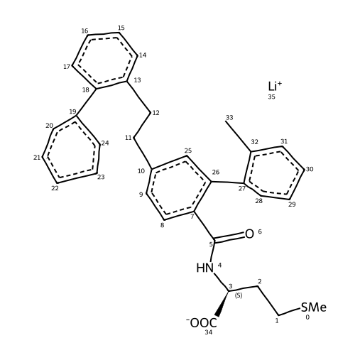 CSCC[C@H](NC(=O)c1ccc(CCc2ccccc2-c2ccccc2)cc1-c1ccccc1C)C(=O)[O-].[Li+]